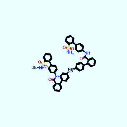 CC(C)(C)NS(=O)(=O)c1ccccc1-c1ccc(NC(=O)c2ccccc2-c2ccc(C#N)cc2)cc1.N#Cc1ccc(-c2ccccc2C(=O)Nc2ccc(-c3ccccc3S(N)(=O)=O)cc2)cc1